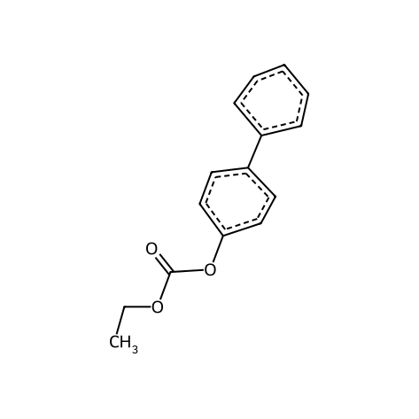 CCOC(=O)Oc1ccc(-c2ccccc2)cc1